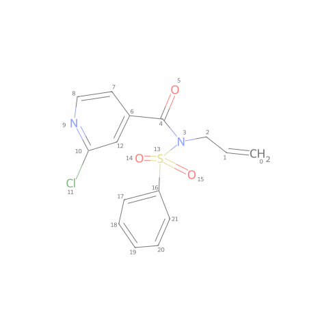 C=CCN(C(=O)c1ccnc(Cl)c1)S(=O)(=O)c1ccccc1